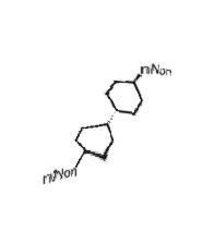 CCCCCCCCCC1CCC([C@H]2CC[C@H](CCCCCCCCC)CC2)CC1